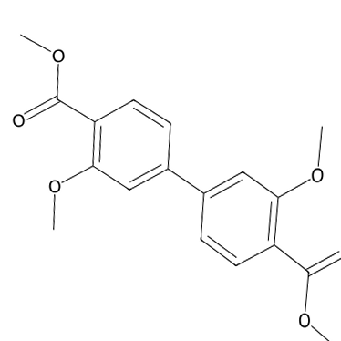 COC(=O)c1ccc(-c2ccc(C(=O)OC)c(OC)c2)cc1OC